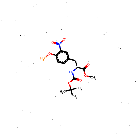 COC(=O)[C@H](Cc1ccc(OP)c([N+](=O)[O-])c1)NC(=O)OC(C)(C)C